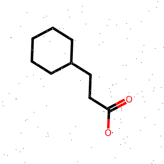 [O]C(=O)CCC1CCCCC1